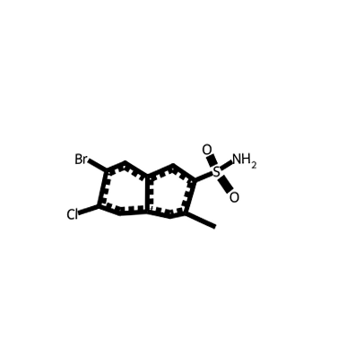 Cc1cc2cc(Cl)c(Br)cc2cc1S(N)(=O)=O